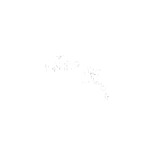 Cc1ncsc1-c1ccc([C@H](C)NC(=O)[C@@H]2C[C@@H](O)CN2C(=O)[C@@H](NC(=O)CCCc2cccc(OC[C@H](CCC(N)=O)NC(=O)[C@@H]3CCCN3C(=O)[C@@H](N)CC(C)C)c2Cl)C(C)(C)C)cc1